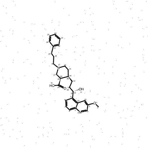 COc1cnc2cccc([C@@H](O)CC[C@@H]3CCN(CCCc4ccccc4)C[C@@H]3C(=O)O)c2c1